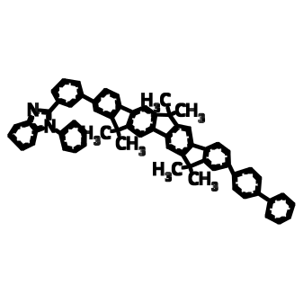 CC1(C)c2cc(-c3ccc(-c4ccccc4)cc3)ccc2-c2cc3c(cc21)-c1cc2c(cc1C3(C)C)-c1ccc(-c3cccc(-c4nc5ccccc5n4-c4ccccc4)c3)cc1C2(C)C